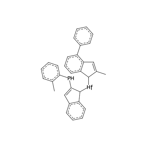 CC1=Cc2c(-c3ccccc3)cccc2[CH]1[Hf][CH]1C(Pc2ccccc2C)=Cc2ccccc21